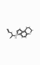 C=CCC(C)Nn1ccc2c3c(ccc21)OCCC3